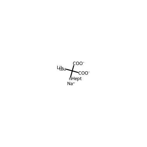 CCCCCCCC(C(=O)[O-])(C(=O)[O-])C(C)(C)C.[Li+].[Na+]